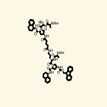 CN[C@@H](C)C(=O)N[C@@H](CCCNC(=O)CCCC(=O)N[C@H]1C[C@@H](C(=O)NC2CCCc3ccccc32)N(C(=O)[C@@H](NC(=O)[C@H](C)NC)C(C)(C)C)C1)C(=O)N1C[C@@H](NC(=O)OCC2c3ccccc3-c3ccccc32)C[C@H]1C(=O)N[C@@H]1CCCc2ccccc21